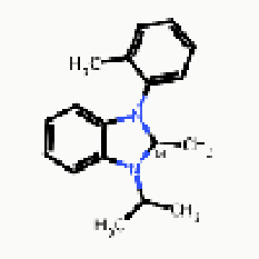 Cc1ccccc1N1c2ccccc2N(C(C)C)[C@@H]1C